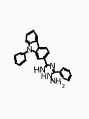 N=C(/N=C(\NN)c1ccccc1)c1ccc2c3ccccc3n(-c3ccccc3)c2c1